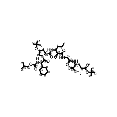 CCCC(NC(=O)[C@@H]1C[C@@H](OC(C)(C)C)CN1C(=O)[C@@H](NC(=O)OCC(C)C)C1CCCCC1)C(=O)C(=O)NCC(=O)N[C@@H](CCC(=O)OC(C)(C)C)C(N)=O